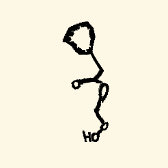 O=C(Cc1ccccc1)OCOO